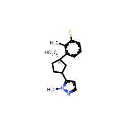 Cc1c(F)cccc1[C@]1(C(=O)O)CCC(c2ccnn2C)C1